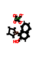 Oc1ccc2ccccc2c1[S+]1CCCC1.[O-][Cl+3]([O-])([O-])[O-]